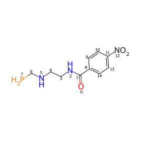 O=C(NCCNCP)c1ccc([N+](=O)[O-])cc1